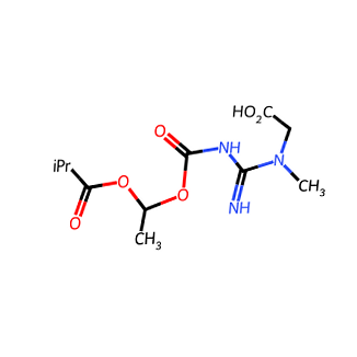 CC(OC(=O)NC(=N)N(C)CC(=O)O)OC(=O)C(C)C